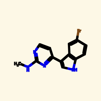 CNc1nccc(-c2c[nH]c3ccc(Br)cc23)n1